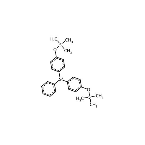 C[Si](C)(C)Oc1ccc([S+](c2ccccc2)c2ccc(O[Si](C)(C)C)cc2)cc1